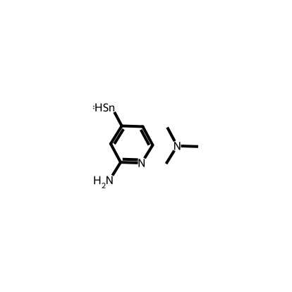 CN(C)C.Nc1c[c]([SnH])ccn1